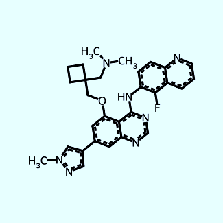 CN(C)CC1(COc2cc(-c3cnn(C)c3)cc3ncnc(Nc4ccc5ncccc5c4F)c23)CCC1